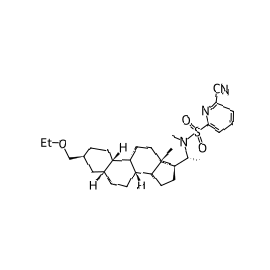 CCOC[C@H]1CC[C@@H]2C3CC[C@@]4(C)C(CC[C@@H]4[C@@H](C)N(C)S(=O)(=O)c4cccc(C#N)n4)[C@@H]3CC[C@@H]2C1